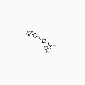 CCc1nc2c(C)nsc2n1Cc1ccc(OCc2ccc(-c3nnn[nH]3)cc2)cc1